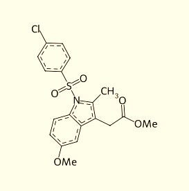 COC(=O)Cc1c(C)n(S(=O)(=O)c2ccc(Cl)cc2)c2ccc(OC)cc12